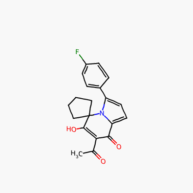 CC(=O)C1=C(O)C2(CCCC2)n2c(ccc2-c2ccc(F)cc2)C1=O